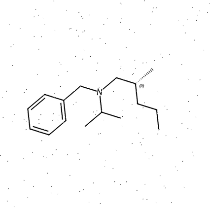 CCC[C@@H](C)CN(Cc1ccccc1)C(C)C